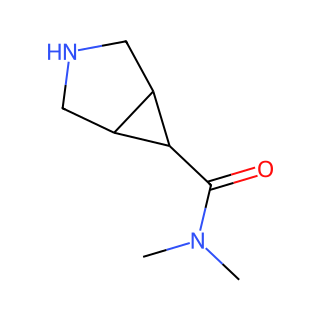 CN(C)C(=O)C1C2CNCC21